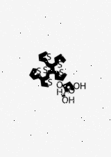 OC[C@H]1OC(O)C[C@@H]1O.c1csc(-c2ccsc2-c2sc(-c3cccs3)c(-c3cccs3)c2-c2cccs2)c1